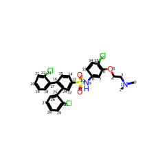 CN(C)CCOc1cc(NS(=O)(=O)c2ccc(-c3ccccc3Cl)c(-c3ccccc3Cl)c2)ccc1Cl